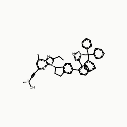 CCc1nc2c(C)cc(C#C[C@H](C)O)nc2n1C1CCc2cc(-c3ccccc3-c3nnnn3C(c3ccccc3)(c3ccccc3)c3ccccc3)ccc21